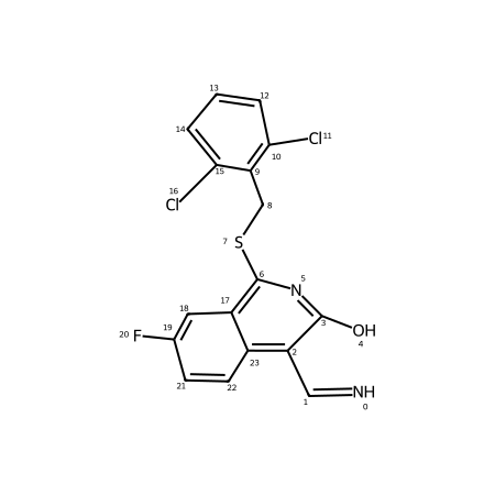 N=Cc1c(O)nc(SCc2c(Cl)cccc2Cl)c2cc(F)ccc12